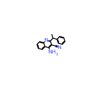 CC(c1ccccc1)c1nc2ccccc2c(N)c1C#N